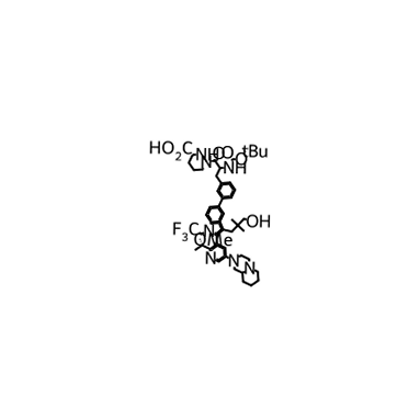 CO[C@@H](C)c1ncc(N2CCN3CCCCC3C2)cc1-c1c(CC(C)(C)CO)c2cc(-c3cccc(CC(NC(=O)OC(C)(C)C)C(=O)N4CCCC(C(=O)O)N4)c3)ccc2n1CC(F)(F)F